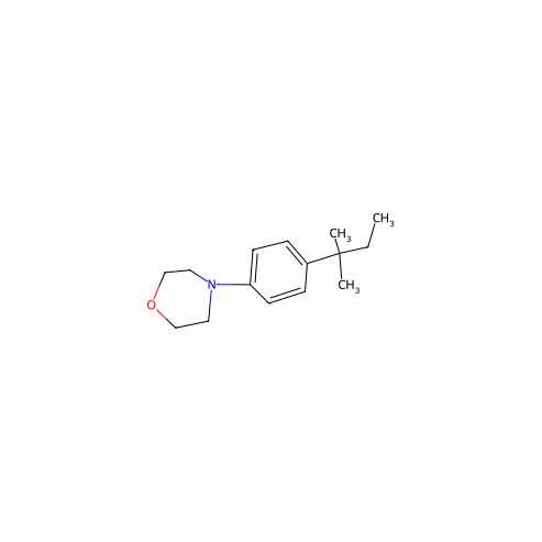 CCC(C)(C)c1ccc(N2CCOCC2)cc1